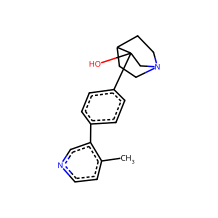 Cc1ccncc1-c1ccc(C2(O)CN3CCC2CC3)cc1